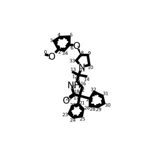 COc1cccc(O[C@H]2CCN(C(C)(C)CCC(C(N)=O)(c3ccccc3)c3ccccc3)C2)c1